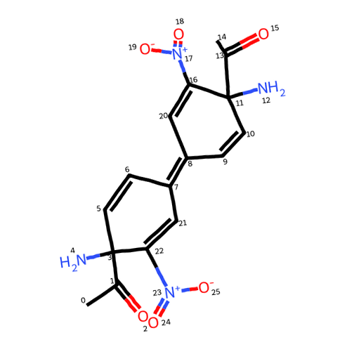 CC(=O)C1(N)C=CC(=C2C=CC(N)(C(C)=O)C([N+](=O)[O-])=C2)C=C1[N+](=O)[O-]